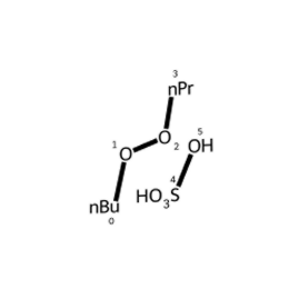 CCCCOOCCC.O=S(=O)(O)O